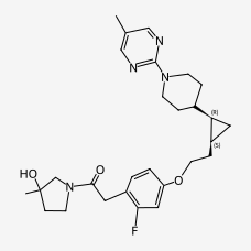 Cc1cnc(N2CCC([C@H]3C[C@H]3CCOc3ccc(CC(=O)N4CCC(C)(O)C4)c(F)c3)CC2)nc1